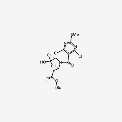 CSc1nc(Cl)c(C(=O)N(CCC(=O)OC(C)(C)C)CC(C)(C)O)c(Cl)n1